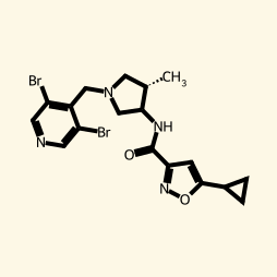 C[C@H]1CN(Cc2c(Br)cncc2Br)CC1NC(=O)c1cc(C2CC2)on1